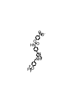 CCn1nc(-c2ccc(NC(=O)Oc3ccc([N+](=O)[O-])cc3)cc2)cc1NCc1ccc(OC(F)(F)F)cc1